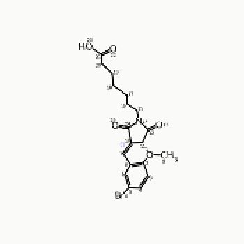 COc1ccc(Br)cc1/C=C1\CC(=O)N(CCCCCCC(=O)O)C1=O